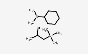 CC(O)C[N+](C)(C)C.CN(C)C1CCCCC1